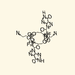 N#CCCOP1(=O)OCC2OC(n3cnc4c(=O)[nH]cnc43)[C@H](F)[C@@H]2P(=O)(OCC#N)OCC2OC(n3cnc4c(=O)[nH]cnc43)[C@H](F)[C@@H]2O1